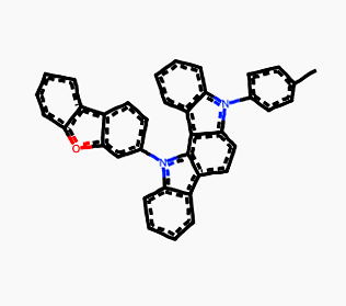 Cc1ccc(-n2c3ccccc3c3c2ccc2c4ccccc4n(-c4ccc5c(c4)oc4ccccc45)c23)cc1